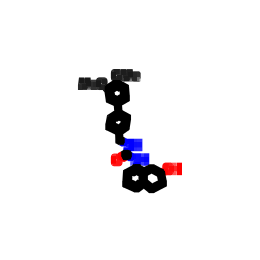 COc1ccc(-c2ccc(CNC(=O)Nc3cccc4c3CC(O)CC4)cc2)cc1OC